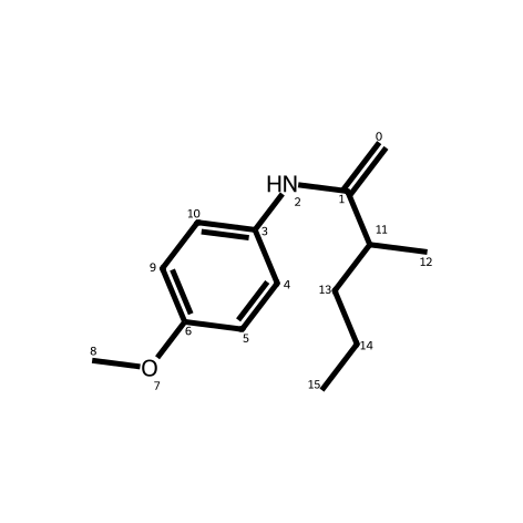 C=C(Nc1ccc(OC)cc1)C(C)CCC